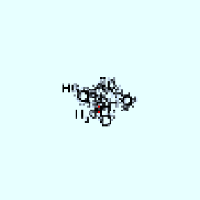 CN(C)c1ncccc1CN1CC2N(C(=O)CN(C)N2C(=O)NCc2ccccc2)[C@@H](Cc2ccc(O)cc2)C1=O